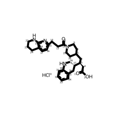 Cl.O=C(O)C[C@H](CC1CCN(C(=O)CCc2ccc3c(n2)NCCC3)CC1)[C@H]1CNc2ccccc2C1